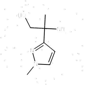 Cn1ccc(C(C)(N)CO)n1